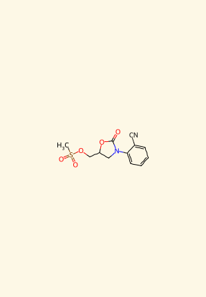 CS(=O)(=O)OCC1CN(c2ccccc2C#N)C(=O)O1